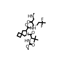 CNCC(=O)[C@H](CCC(C)(F)F)NC(=O)C1CC2(CCC2)CN1C(=O)[C@@H](NC(=O)OC)C(C)(C)C